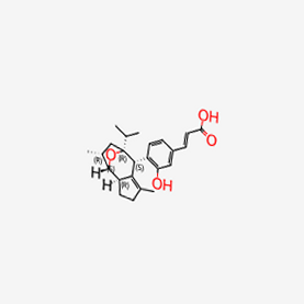 CC1=C2[C@@H](CC1)[C@H]1O[C@@](C(C)C)(C[C@H]1C)[C@@H]2c1ccc(C=CC(=O)O)cc1O